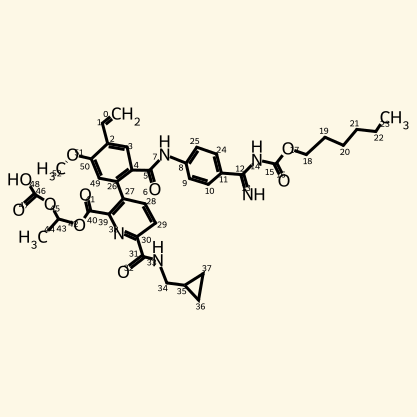 C=Cc1cc(C(=O)Nc2ccc(C(=N)NC(=O)OCCCCCC)cc2)c(-c2ccc(C(=O)NCC3CC3)nc2C(=O)OC(C)OC(=O)O)cc1OC